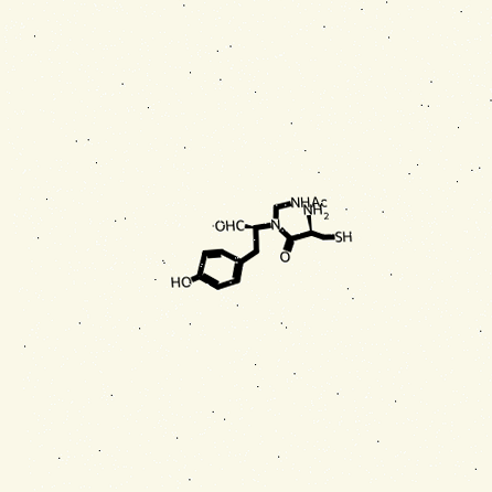 CC(=O)NCN(C(=O)[C@@H](N)CS)[C@H]([C]=O)Cc1ccc(O)cc1